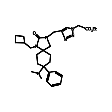 CCOC(=O)Cn1cc(CN2CC3(CCC(c4ccccc4)(N(C)C)CC3)N(CC3CCC3)C2=O)nn1